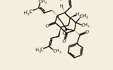 CC(C)=CC[C@]12C[C@@H]3[C@H](C=C(C)C)[C@](CC=C(C)C)(C1=O)C(=O)[C@](C(=O)c1ccccc1)(C2=O)C3(C)C